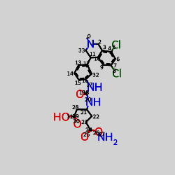 CN1Cc2c(Cl)cc(Cl)cc2C(c2cccc(NC(=O)NC(CCC(=O)ON)CC(=O)O)c2)C1